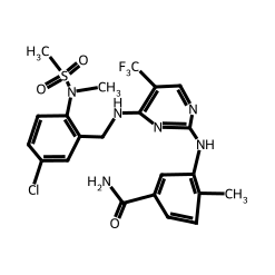 Cc1ccc(C(N)=O)cc1Nc1ncc(C(F)(F)F)c(NCc2cc(Cl)ccc2N(C)S(C)(=O)=O)n1